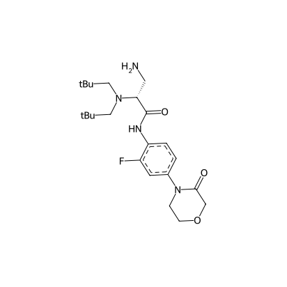 CC(C)(C)CN(CC(C)(C)C)[C@H](CN)C(=O)Nc1ccc(N2CCOCC2=O)cc1F